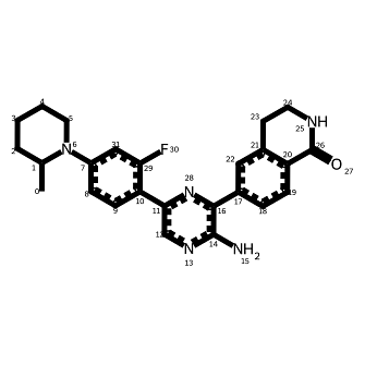 CC1CCCCN1c1ccc(-c2cnc(N)c(-c3ccc4c(c3)CCNC4=O)n2)c(F)c1